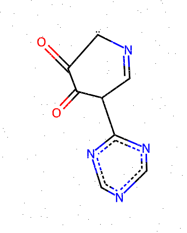 O=C1[C]N=CC(c2ncncn2)C1=O